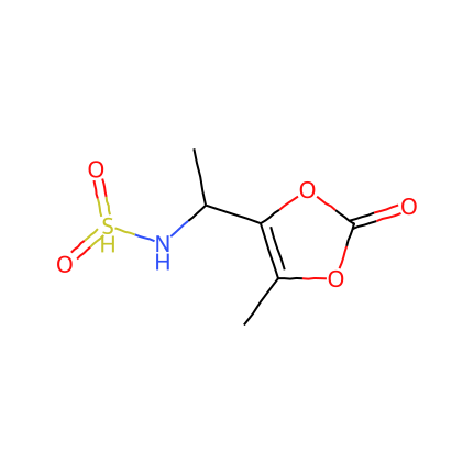 Cc1oc(=O)oc1C(C)N[SH](=O)=O